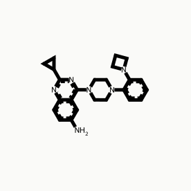 Nc1ccc2nc(C3CC3)nc(N3CCN(c4ccccc4N4CCC4)CC3)c2c1